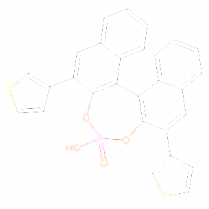 O=P1(O)Oc2c(-c3ccsc3)cc3ccccc3c2-c2c(c(-c3ccsc3)cc3ccccc23)O1